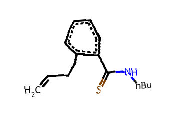 C=CCc1ccccc1C(=S)NCCCC